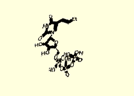 CC/C=C/c1cn([C@@H]2O[C@H](COP(=O)(O)OP(=O)(O)OP(=O)(O)O)C(O)C2O)c(=O)[nH]c1=O